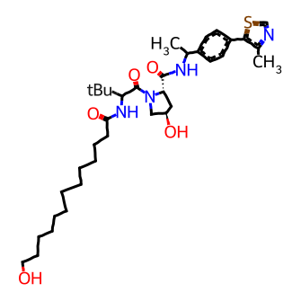 Cc1ncsc1-c1ccc(C(C)NC(=O)[C@@H]2C[C@@H](O)CN2C(=O)C(NC(=O)CCCCCCCCCCCCO)C(C)(C)C)cc1